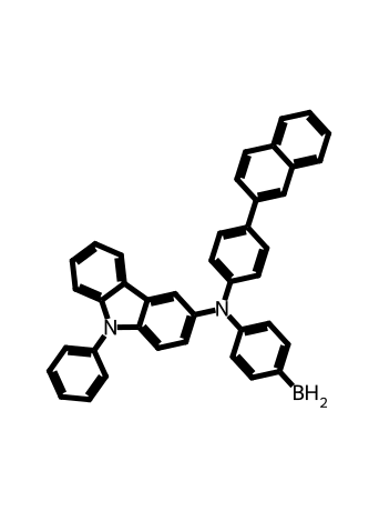 Bc1ccc(N(c2ccc(-c3ccc4ccccc4c3)cc2)c2ccc3c(c2)c2ccccc2n3-c2ccccc2)cc1